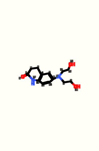 O=C1CCc2cc(N(CCO)CCO)ccc2N1